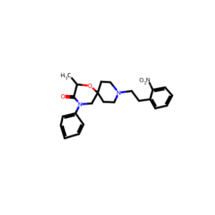 CC1OC2(CCN(CCc3ccccc3[N+](=O)[O-])CC2)CN(c2ccccc2)C1=O